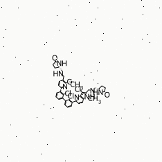 COc1nc(-c2cccc(-c3cccc(-c4ccc5c(n4)c(Cl)c(CNC[C@@H]4CCC(=O)N4)n5C)c3Cl)c2Cl)ccc1CNC[C@@H]1CCC(=O)N1